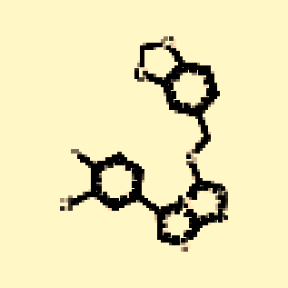 Fc1ccc(-c2csc3nnc(SCc4ccc5c(c4)OCO5)n23)cc1Cl